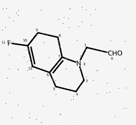 O=CCN1CCCC2=C1CCC(F)=C2